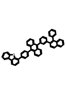 c1ccc(-c2c(-c3cccc(-c4c5ccccc5c(-c5ccc(-c6cccc7c6oc6ccccc67)cc5)c5ccccc45)c3)ccc3ccccc23)cc1